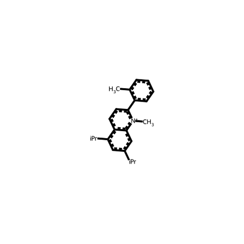 Cc1ccccc1-c1ccc2c(C(C)C)cc(C(C)C)cc2[n+]1C